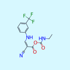 CCNC(=O)OC(=O)C(C#N)=CNc1cccc(C(F)(F)F)c1